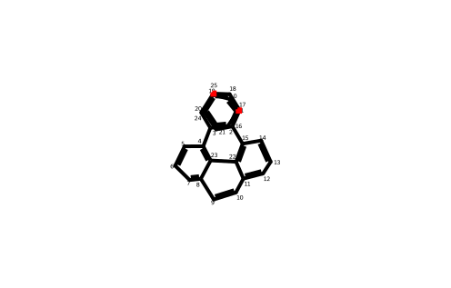 c1ccc(-c2cccc3ccc4cccc(-c5ccccc5)c4c23)cc1